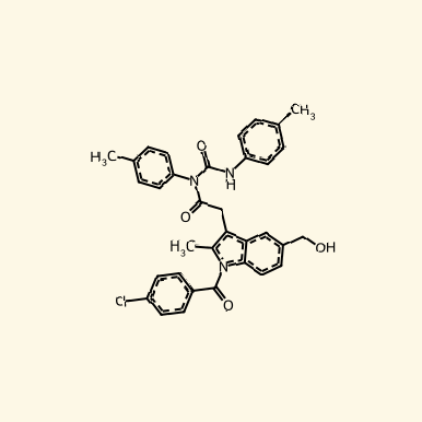 Cc1ccc(NC(=O)N(C(=O)Cc2c(C)n(C(=O)c3ccc(Cl)cc3)c3ccc(CO)cc23)c2ccc(C)cc2)cc1